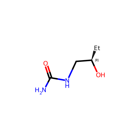 CC[C@@H](O)CNC(N)=O